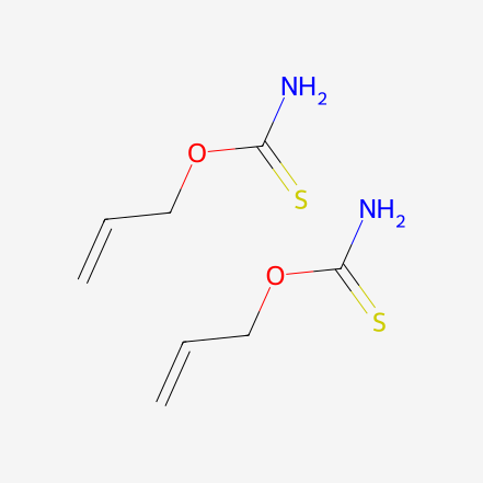 C=CCOC(N)=S.C=CCOC(N)=S